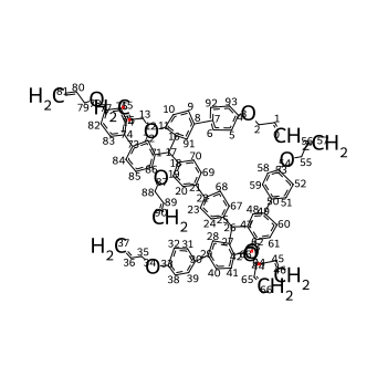 C=CCOc1ccc(-c2ccc(OCC=C)c(C(c3ccc(-c4ccc(C(c5cc(-c6ccc(OCC=C)cc6)ccc5OCC=C)c5cc(-c6ccc(OCC=C)cc6)ccc5OCC=C)cc4)cc3)c3cc(-c4ccc(OCC=C)cc4)ccc3OCC=C)c2)cc1